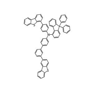 c1ccc(C2(c3ccccc3)c3ccccc3-c3c(N(c4ccc(-c5cccc(-c6ccc7sc8ccccc8c7c6)c5)cc4)c4ccc(-c5cccc6c5sc5ccccc56)cc4)cccc32)cc1